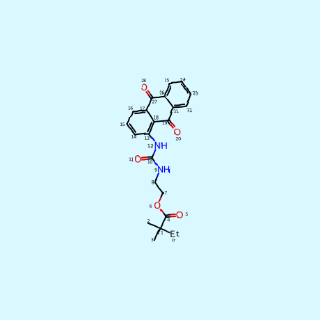 CCC(C)(C)C(=O)OCCNC(=O)Nc1cccc2c1C(=O)c1ccccc1C2=O